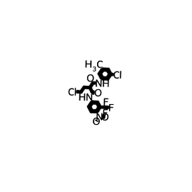 Cc1cc(Cl)cc(NC(=O)C(CCCl)C(=O)Nc2ccc([N+](=O)[O-])c(C(F)(F)F)c2)c1